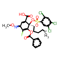 CCCCC[C@@]1(OS(=O)(=O)c2cc(Cl)c(Cl)cc2Cl)C(C(=O)O)=CC(=NOC)C(F)=C1OC(=O)c1ccccc1